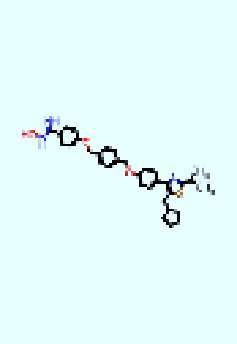 CC(C)c1nc(-c2ccc(OCc3ccc(COc4ccc(C(=N)NO)cc4)cc3)cc2)c(CC2CCCC2)s1